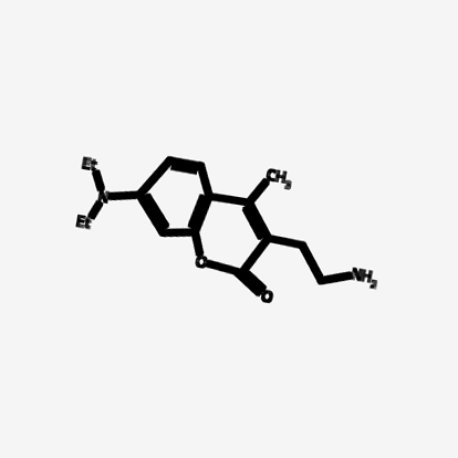 CCN(CC)c1ccc2c(C)c(CCN)c(=O)oc2c1